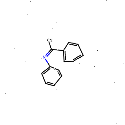 N#CC(=Nc1ccccc1)c1ccccc1